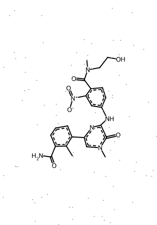 Cc1c(C(N)=O)cccc1-c1cn(C)c(=O)c(Nc2ccc(C(=O)N(C)CCO)c([N+](=O)[O-])c2)n1